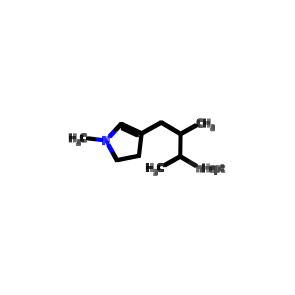 CCCCCCCC(C)C(C)CC1=CN(C)CC1